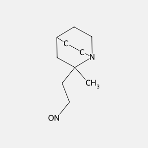 CC1(CCN=O)CC2CCN1CC2